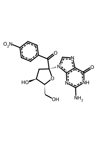 Nc1nc2c(ncn2[C@@]2(C(=O)c3ccc([N+](=O)[O-])cc3)C[C@H](O)[C@@H](CO)O2)c(=O)[nH]1